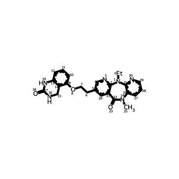 CCN1c2ncc(CCOc3cccc4c3CNC(=O)N4)cc2C(=O)N(C)c2cccnc21